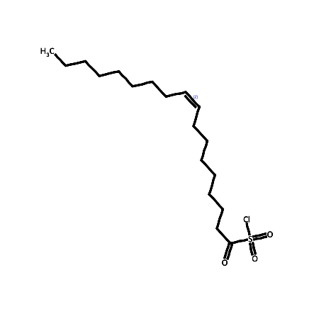 CCCCCCCC/C=C\CCCCCCCC(=O)S(=O)(=O)Cl